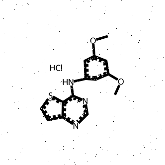 COc1cc(Nc2ncnc3ccsc23)cc(OC)c1.Cl